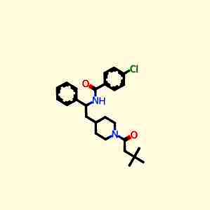 CC(C)(C)CC(=O)N1CCC(CC(NC(=O)c2ccc(Cl)cc2)c2ccccc2)CC1